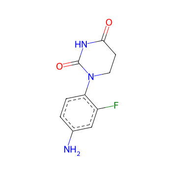 Nc1ccc(N2CCC(=O)NC2=O)c(F)c1